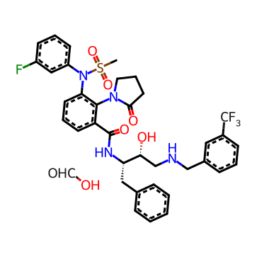 CS(=O)(=O)N(c1cccc(F)c1)c1cccc(C(=O)N[C@@H](Cc2ccccc2)[C@H](O)CNCc2cccc(C(F)(F)F)c2)c1N1CCCC1=O.O=CO